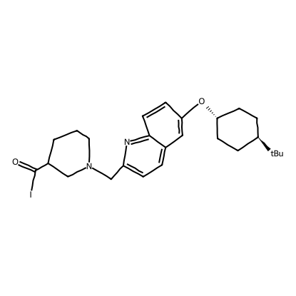 CC(C)(C)[C@H]1CC[C@H](Oc2ccc3nc(CN4CCCC(C(=O)I)C4)ccc3c2)CC1